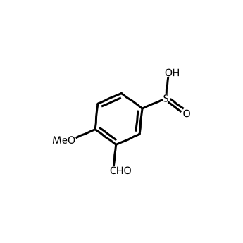 COc1ccc(S(=O)O)cc1C=O